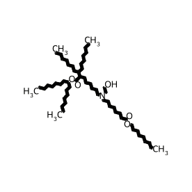 CCCCCCCCCOC(=O)CCCCCCCN(CCO)CCCCCCC(C(=O)OC(CCCCCCCC)CCCCCCCC)C(CCCCCCCC)CCCCCCCC